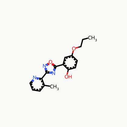 CCCOc1ccc(O)c(-c2nc(-c3ncccc3C)no2)c1